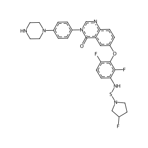 O=c1c2cc(Oc3c(F)ccc(NSN4CCC(F)C4)c3F)ccc2ncn1-c1ccc(N2CCNCC2)cc1